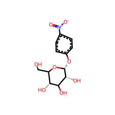 O=[N+]([O-])c1ccc(O[C@H]2OC(CO)[C@@H](O)C(O)[C@H]2O)cc1